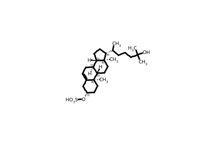 CC(CCCC(C)(C)O)[C@H]1CC[C@H]2[C@@H]3CC=C4C[C@@H](OS(=O)(=O)O)CC[C@]4(C)[C@H]3CC[C@]12C